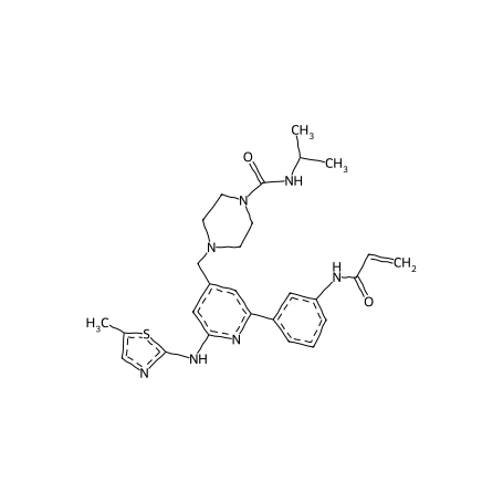 C=CC(=O)Nc1cccc(-c2cc(CN3CCN(C(=O)NC(C)C)CC3)cc(Nc3ncc(C)s3)n2)c1